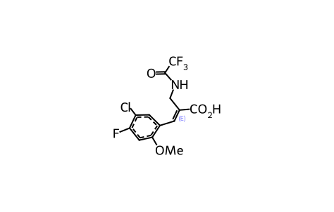 COc1cc(F)c(Cl)cc1/C=C(\CNC(=O)C(F)(F)F)C(=O)O